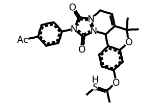 C[SH]=C(C)Oc1ccc2c(c1)OC(C)(C)C1=CCn3c(=O)n(-c4ccc(C(C)=O)cc4)c(=O)n3C12